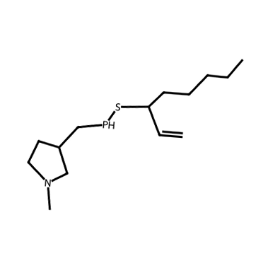 C=CC(CCCCC)SPCC1CCN(C)C1